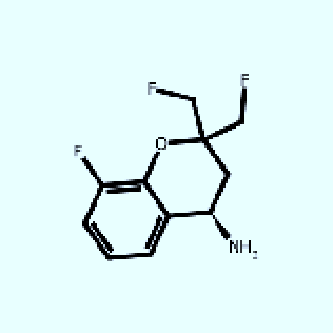 N[C@@H]1CC(CF)(CF)Oc2c(F)cccc21